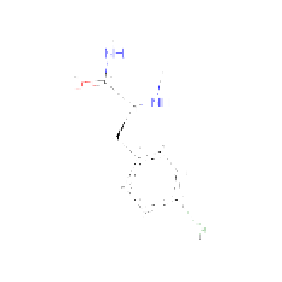 CN[C@@H](Cc1ccc(Br)cc1)C(N)=O